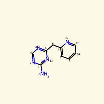 Nc1ncnc(Cc2ccccn2)n1